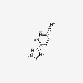 N#Cc1ccc(-n2ncnn2)nn1